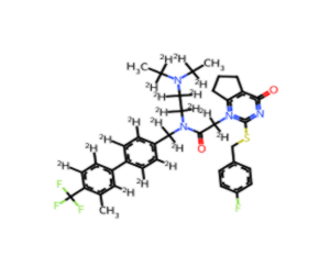 [2H]c1c([2H])c(C([2H])([2H])N(C(=O)C([2H])([2H])n2c(SCc3ccc(F)cc3)nc(=O)c3c2CCC3)C([2H])([2H])C([2H])([2H])N(C([2H])([2H])C)C([2H])([2H])C)c([2H])c([2H])c1-c1c([2H])c([2H])c(C(F)(F)F)c(C)c1[2H]